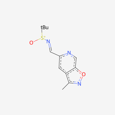 Cc1noc2cnc(/C=N/[S+]([O-])C(C)(C)C)cc12